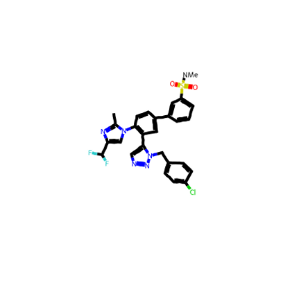 CNS(=O)(=O)c1cccc(-c2ccc(-n3cc(C(F)F)nc3C)c(-c3cnnn3Cc3ccc(Cl)cc3)c2)c1